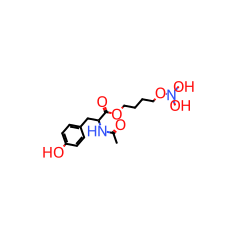 CC(=O)NC(Cc1ccc(O)cc1)C(=O)OCCCCON(O)O